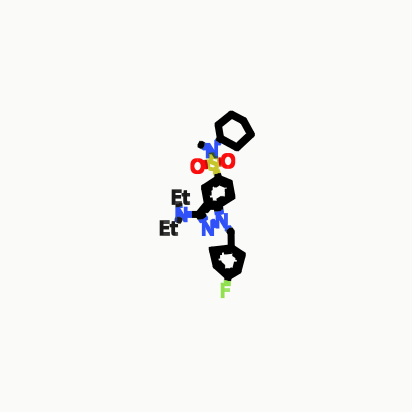 CCN(CC)c1nn(Cc2ccc(F)cc2)c2ccc(S(=O)(=O)N(C)C3CCCCC3)cc12